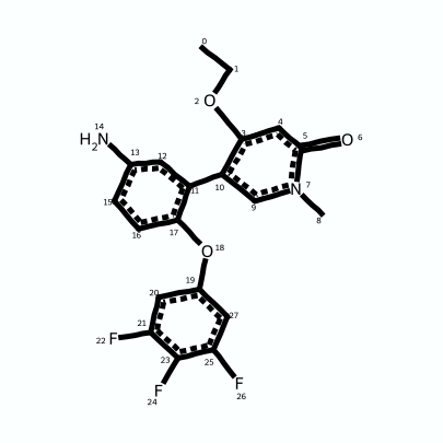 CCOc1cc(=O)n(C)cc1-c1cc(N)ccc1Oc1cc(F)c(F)c(F)c1